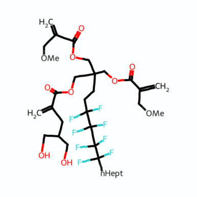 C=C(COC)C(=O)OCC(CCC(F)(F)C(F)(F)C(F)(F)C(F)(F)CCCCCCC)(COC(=O)C(=C)COC)COC(=O)C(=C)CC(CO)CO